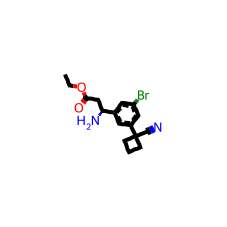 CCOC(=O)C[C@H](N)c1cc(Br)cc(C2(C#N)CCC2)c1